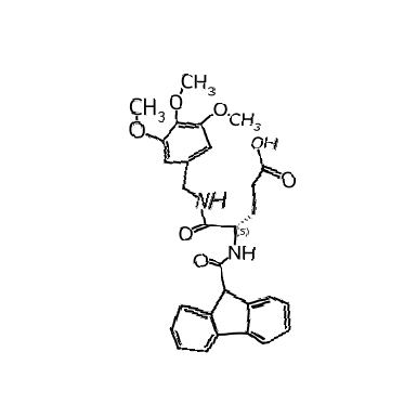 COc1cc(CNC(=O)[C@H](CCC(=O)O)NC(=O)C2c3ccccc3-c3ccccc32)cc(OC)c1OC